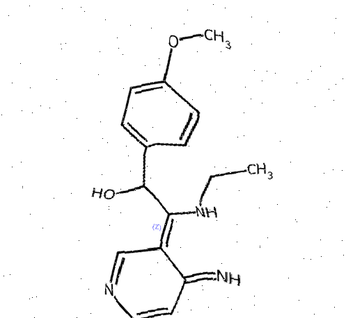 CCN/C(=C1/C=NC=CC1=N)C(O)c1ccc(OC)cc1